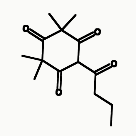 CCCC(=O)C1C(=O)C(C)(C)C(=O)C(C)(C)C1=O